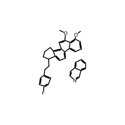 COc1cccc2c1c(OC)cc1c3c(ccc12)C(CCc1ccc(F)cc1)CCC3.c1ccc2cnccc2c1